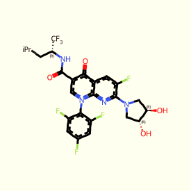 CC(C)C[C@@H](NC(=O)c1cn(-c2c(F)cc(F)cc2F)c2nc(N3C[C@@H](O)[C@H](O)C3)c(F)cc2c1=O)C(F)(F)F